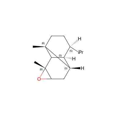 CC(C)[C@@H]1CC[C@@]2(C)C3[C@@H]1[C@@H]2CC1O[C@@]13C